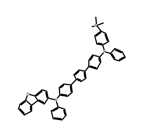 C[Si](C)(C)c1ccc(N(c2ccccc2)c2ccc(-c3ccc(-c4ccc(N(c5ccccc5)c5ccc6oc7ccccc7c6c5)cc4)cc3)cc2)cc1